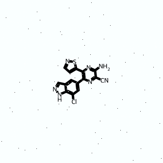 N#Cc1nc(-c2cc(Cl)c3[nH]ncc3c2)c(-c2ccns2)nc1N